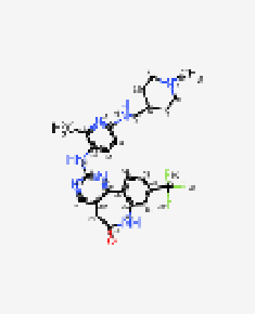 Cc1nc(NCC2CCN(C)CC2)ccc1Nc1ncc2c(n1)-c1ccc(C(F)(F)F)cc1NC(=O)C2